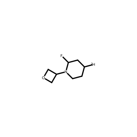 [2H]C1CCN(C2COC2)C(F)C1